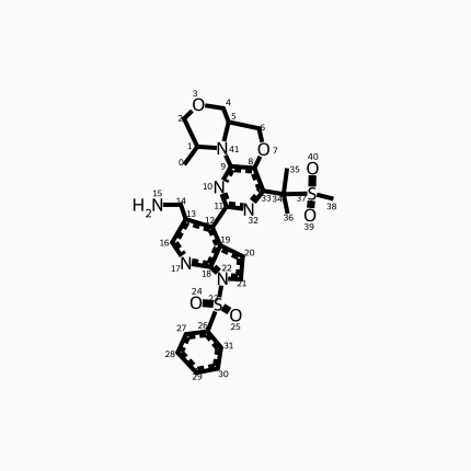 CC1COCC2COc3c(nc(-c4c(CN)cnc5c4ccn5S(=O)(=O)c4ccccc4)nc3C(C)(C)S(C)(=O)=O)N12